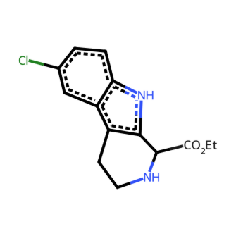 CCOC(=O)C1NCCc2c1[nH]c1ccc(Cl)cc21